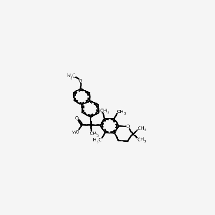 COc1ccc2cc(C(C)(C(=O)O)c3c(C)c(C)c4c(c3C)CCC(C)(C)O4)ccc2c1